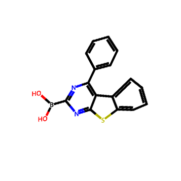 OB(O)c1nc(-c2ccccc2)c2c(n1)sc1ccccc12